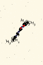 C=C(C)C(=O)Oc1ccc(/C=C/c2ccc(/C=C/c3ccc(/C=C/c4ccc(OC(=O)C(=C)C)cc4)c(F)c3)cc2)cc1